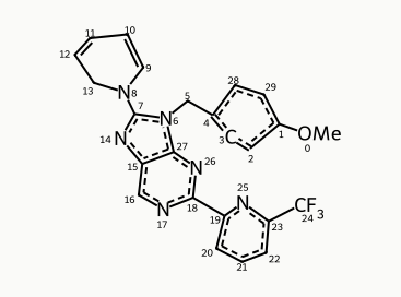 COc1ccc(Cn2c(N3C=CC=CC3)nc3cnc(-c4cccc(C(F)(F)F)n4)nc32)cc1